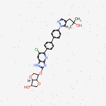 CC(C)(O)Cc1cnn(-c2ccc(-c3ccc(-c4nc5nc(O[C@@H]6CO[C@H]7C6OC[C@H]7O)[nH]c5cc4Cl)cc3)cc2)c1